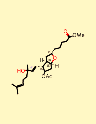 COC(=O)CCCC[C@H]1C[C@H]2[C@H](CC(OC(C)=O)[C@@H]2/C=C/C(C)(O)CCC=C(C)C)O1